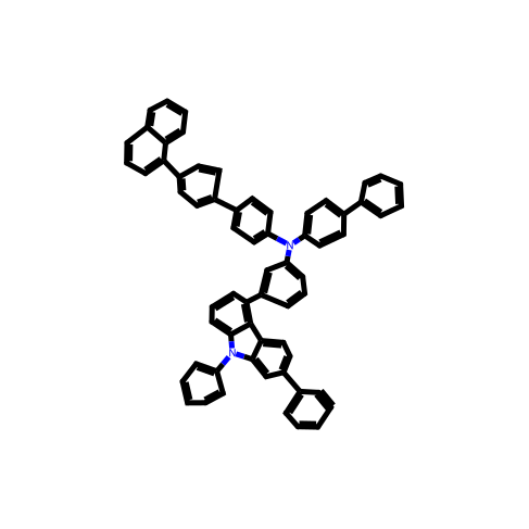 c1cccc(-c2ccc3c4c(-c5cccc(N(c6ccc(-c7ccccc7)cc6)c6ccc(-c7ccc(-c8cccc9ccccc89)cc7)cc6)c5)cccc4n(-c4ccccc4)c3c2)c#1